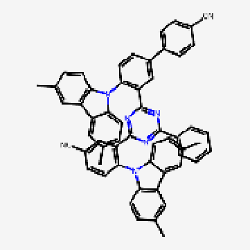 Cc1ccc2c(c1)c1cc(C)ccc1n2-c1ccc(C#N)cc1-c1nc(-c2ccccc2)nc(-c2cc(-c3ccc(C#N)cc3)ccc2-n2c3ccc(C)cc3c3cc(C)ccc32)n1